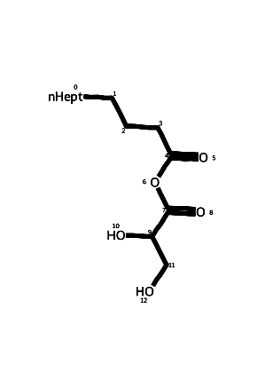 CCCCCCCCCCC(=O)OC(=O)C(O)CO